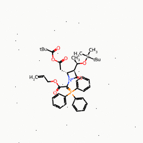 C=CCOC(=O)C(N1C(=O)[C@H]([C@@H](C)O[Si](C)(C)C(C)(C)C)[C@H]1CC(=O)OC(=O)C(C)(C)C)=P(c1ccccc1)(c1ccccc1)c1ccccc1